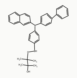 CC(C)(O)C(C)(C)OBc1ccc(N(c2ccc(-c3ccccc3)cc2)c2ccc3ccccc3c2)cc1